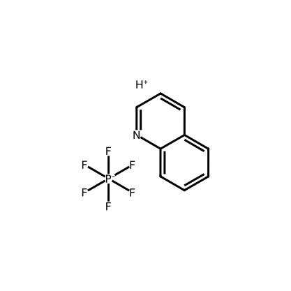 F[P-](F)(F)(F)(F)F.[H+].c1ccc2ncccc2c1